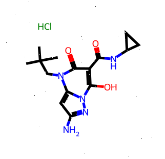 CC(C)(C)Cn1c(=O)c(C(=O)NC2CC2)c(O)n2nc(N)cc12.Cl